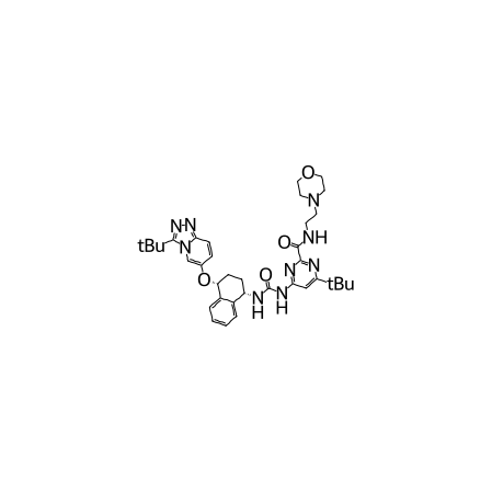 CC(C)(C)c1cc(NC(=O)N[C@H]2CC[C@@H](Oc3ccc4nnc(C(C)(C)C)n4c3)c3ccccc32)nc(C(=O)NCCN2CCOCC2)n1